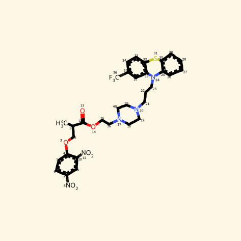 CC(COc1ccc([N+](=O)[O-])cc1[N+](=O)[O-])C(=O)OCCN1CCN(CCCN2c3ccccc3Sc3ccc(C(F)(F)F)cc32)CC1